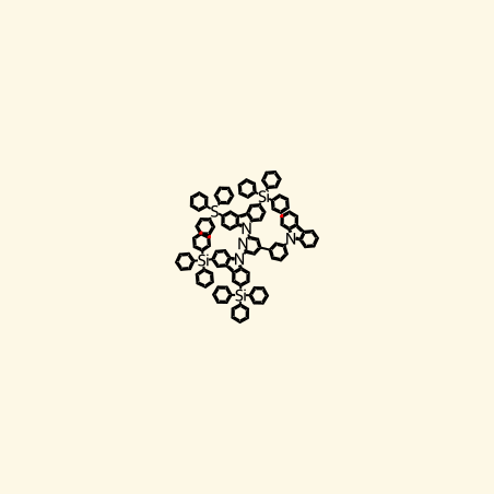 c1ccc([Si](c2ccccc2)(c2ccccc2)c2ccc3c(c2)c2cc([Si](c4ccccc4)(c4ccccc4)c4ccccc4)ccc2n3-c2cc(-c3cccc(-n4c5ccccc5c5ccccc54)c3)cc(-n3c4ccc([Si](c5ccccc5)(c5ccccc5)c5ccccc5)cc4c4cc(S(c5ccccc5)(c5ccccc5)c5ccccc5)ccc43)n2)cc1